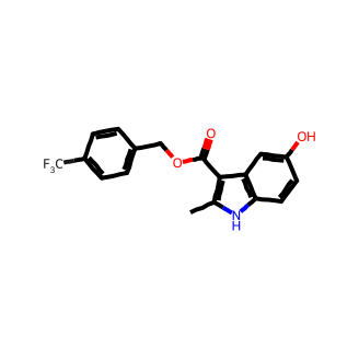 Cc1[nH]c2ccc(O)cc2c1C(=O)OCc1ccc(C(F)(F)F)cc1